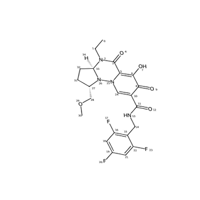 CCN1C(=O)c2c(O)c(=O)c(C(=O)NCc3c(F)cc(F)cc3F)cn2N2[C@H](COC)CC[C@@H]12